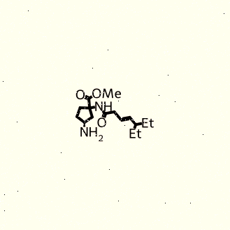 CCC(C=CCC(=O)NC1(C(=O)OC)CC[C@H](N)C1)CC